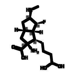 CN[C@@H]1C[C@@H]2C[C@@](N)(C(=O)O)[C@@H](CCCB(O)O)[C@@H]2[C@H]1F